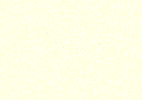 Cl.N#Cc1ccc(Oc2cc(Cl)cc(Cl)c2)c(S(=O)(=O)N2CCC(NC(=O)NCCN3CCOCC3)CC2)c1